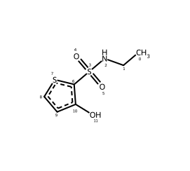 CCNS(=O)(=O)c1sccc1O